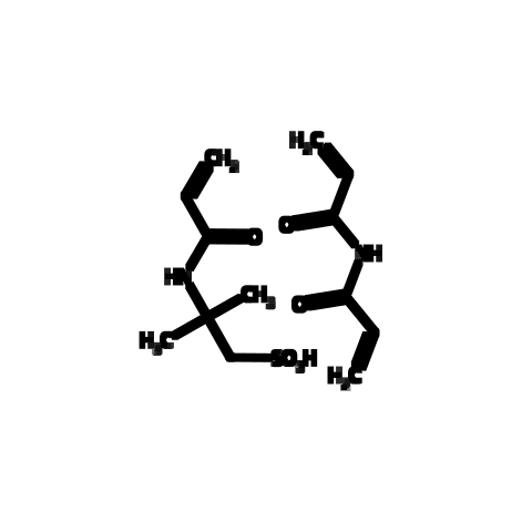 C=CC(=O)NC(=O)C=C.C=CC(=O)NC(C)(C)CS(=O)(=O)O